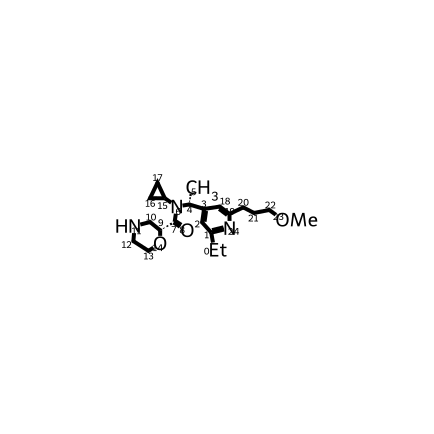 CCc1cc([C@@H](C)N(C(=O)[C@H]2CNCCO2)C2CC2)cc(CCCOC)n1